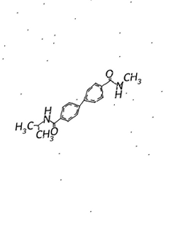 CNC(=O)c1ccc(-c2ccc(C(=O)NC(C)C)cc2)cc1